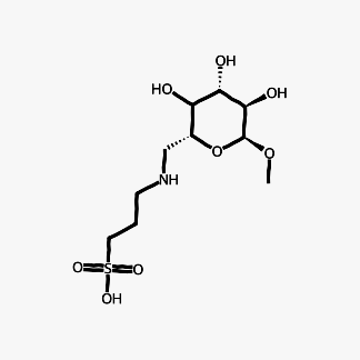 CO[C@H]1O[C@H](CNCCCS(=O)(=O)O)C(O)[C@H](O)[C@H]1O